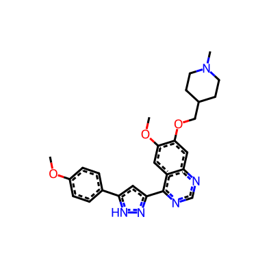 COc1ccc(-c2cc(-c3ncnc4cc(OCC5CCN(C)CC5)c(OC)cc34)n[nH]2)cc1